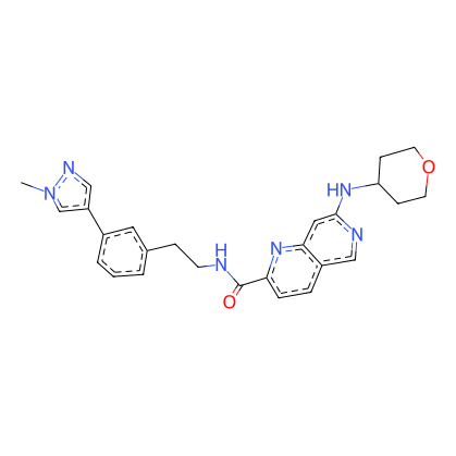 Cn1cc(-c2cccc(CCNC(=O)c3ccc4cnc(NC5CCOCC5)cc4n3)c2)cn1